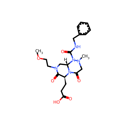 COCCN1C[C@H]2N(C(=O)CN(C)N2C(=O)NCc2ccccc2)[C@@H](CCC(=O)O)C1=O